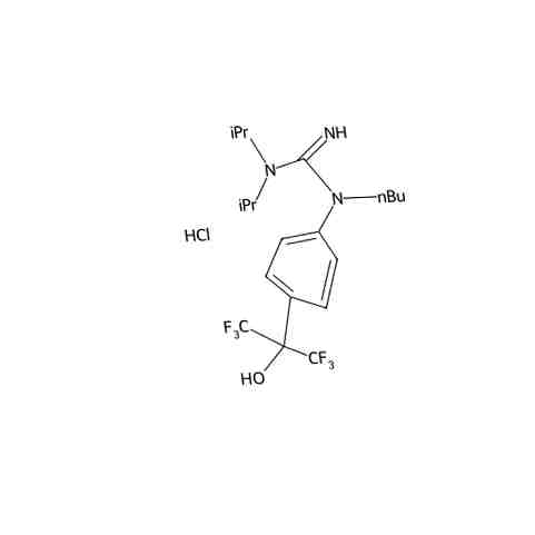 CCCCN(C(=N)N(C(C)C)C(C)C)c1ccc(C(O)(C(F)(F)F)C(F)(F)F)cc1.Cl